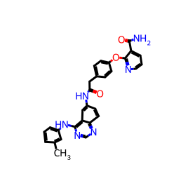 Cc1cccc(Nc2ncnc3ccc(NC(=O)Cc4ccc(Oc5ncccc5C(N)=O)cc4)cc23)c1